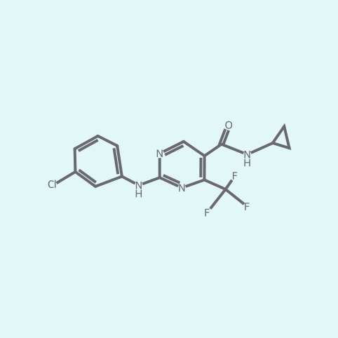 O=C(NC1CC1)c1cnc(Nc2cccc(Cl)c2)nc1C(F)(F)F